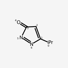 CC(C)C1=CC(=O)N=N1